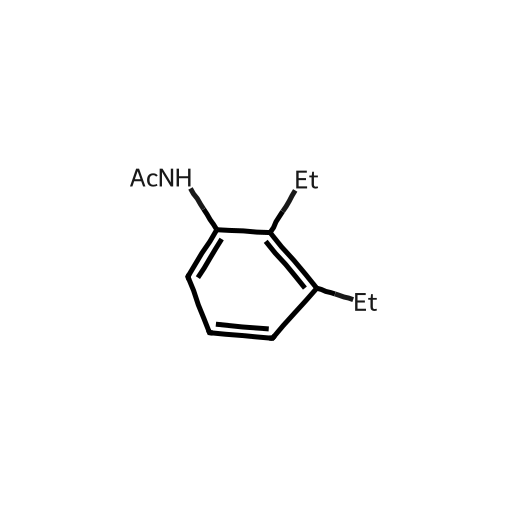 CCc1cccc(NC(C)=O)c1CC